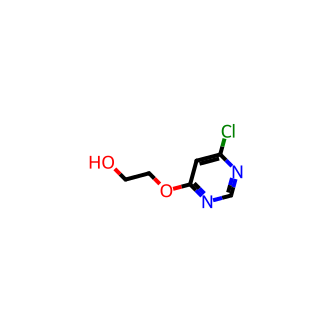 OCCOc1cc(Cl)ncn1